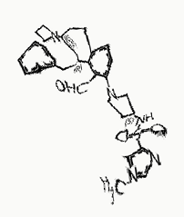 Cn1cnc(S(=O)(=O)N[C@H]2CCN(c3ccc4c(c3C=O)[C@@H](Cc3ccccc3)[C@@H](N3CCC3)CC4)C2)c1